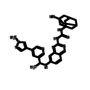 CC(Nc1ccc2cnc(NC(=O)NC34CC5CC(CC(O)(C5)C3)C4)nc2c1)c1cncc(-c2cnn(C)c2)c1